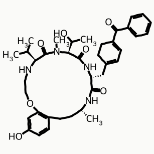 CC(C)[C@@H]1NCCOc2cc(O)ccc2CC[C@@H](C)NC(=O)[C@@H](CC2=CC=C(C(=O)c3ccccc3)CC2)NC(=O)[C@H](C(C)O)N(C)C1=O